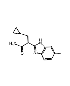 Cc1ccc2nc(C(CC3CC3)C(N)=O)[nH]c2c1